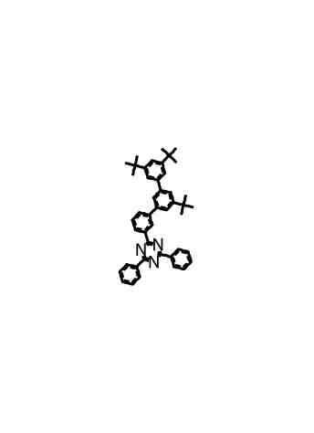 CC(C)(C)c1cc(-c2cccc(-c3nc(-c4ccccc4)nc(-c4ccccc4)n3)c2)cc(-c2cc(C(C)(C)C)cc(C(C)(C)C)c2)c1